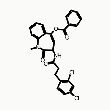 CN1C(=O)C(NC(=O)CCc2ccc(Cl)cc2Cl)C=C(OC(=O)c2ccccc2)c2ccccc21